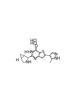 Cc1[nH]ncc1-c1cc2nc([C@H]3NC[C@H]4C[C@H]43)[nH]c(=O)c2s1.Cl.Cl